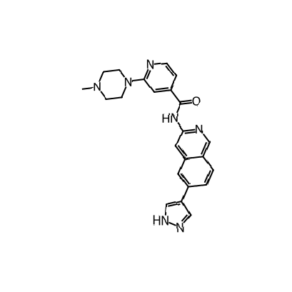 CN1CCN(c2cc(C(=O)Nc3cc4cc(-c5cn[nH]c5)ccc4cn3)ccn2)CC1